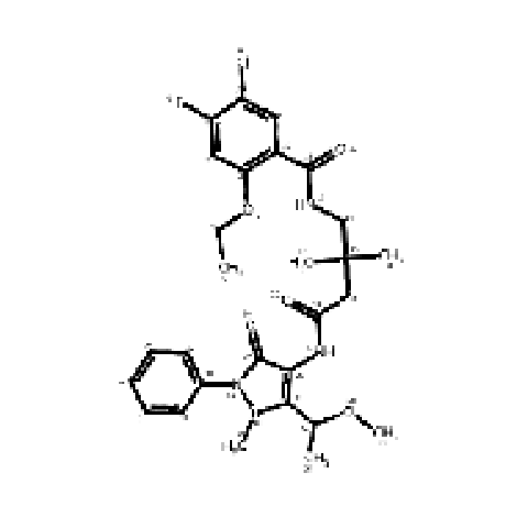 CCOc1cc(F)c(Cl)cc1C(=O)NCC(C)(C)CC(=O)Nc1c(C(C)OC)n(C)n(-c2ccccc2)c1=O